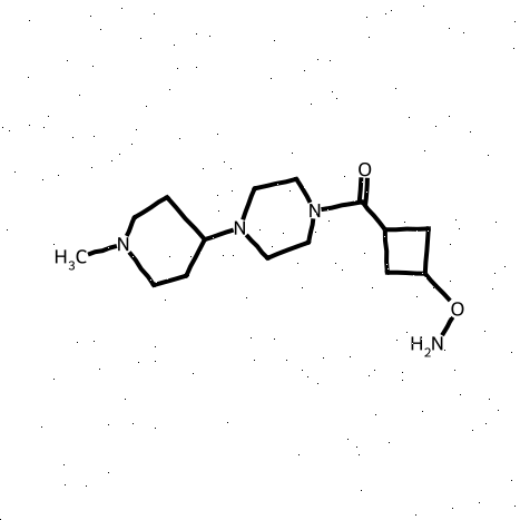 CN1CCC(N2CCN(C(=O)C3CC(ON)C3)CC2)CC1